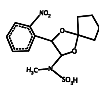 CN(C1OC2(CCCC2)OC1c1ccccc1[N+](=O)[O-])S(=O)(=O)O